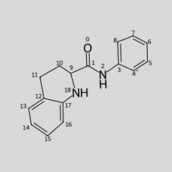 O=C(Nc1[c]cccc1)C1CCc2ccccc2N1